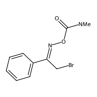 CNC(=O)ON=C(CBr)c1ccccc1